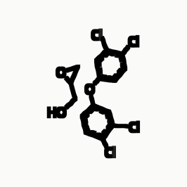 Clc1ccc(Oc2ccc(Cl)c(Cl)c2)cc1Cl.OCC1CO1